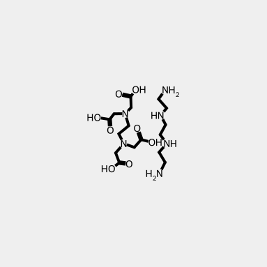 NCCNCCNCCN.O=C(O)CN(CCN(CC(=O)O)CC(=O)O)CC(=O)O